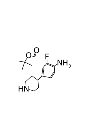 CC(C)(C)OC=O.Nc1ccc(C2CCNCC2)cc1F